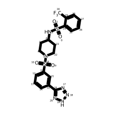 O=S(=O)(NC1CCN(S(=O)(=O)c2cccc(-c3nn[nH]n3)c2)CC1)c1ccccc1C(F)(F)F